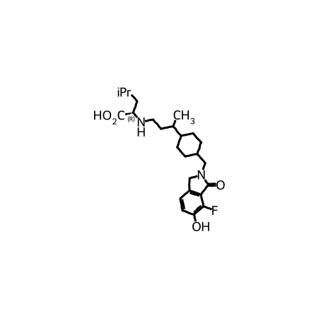 CC(C)C[C@@H](NCCC(C)C1CCC(CN2Cc3ccc(O)c(F)c3C2=O)CC1)C(=O)O